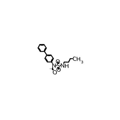 CCCCNS(=O)(=O)N([C]=O)c1ccc(-c2ccccc2)cc1